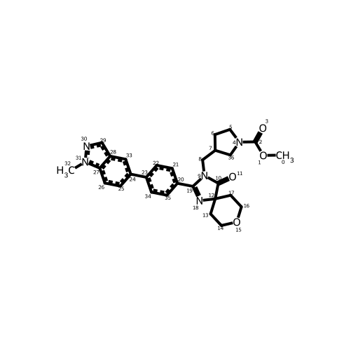 COC(=O)N1CCC(CN2C(=O)C3(CCOCC3)N=C2c2ccc(-c3ccc4c(cnn4C)c3)cc2)C1